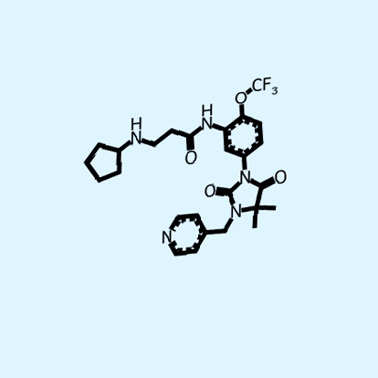 CC1(C)C(=O)N(c2ccc(OC(F)(F)F)c(NC(=O)CCNC3CCCC3)c2)C(=O)N1Cc1ccncc1